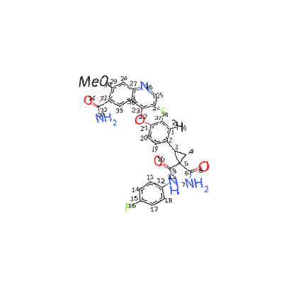 [2H]c1c(C2CC2(C(N)=O)C(=O)Nc2ccc(F)cc2)ccc(Oc2ccnc3cc(OC)c(C(N)=O)cc23)c1F